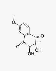 COc1ccc2c(c1)C(=O)[C@H](O)[C@](C)(O)C2=O